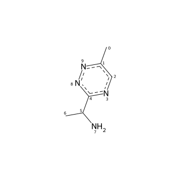 Cc1cnc(C(C)N)nn1